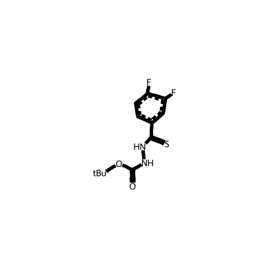 CC(C)(C)OC(=O)NNC(=S)c1ccc(F)c(F)c1